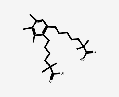 Cc1cc(CCCCCC(C)(C)C(=O)O)c(CCCCC(C)(C)C(=O)O)c(C)c1C